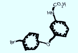 O=C(O)Nc1cccc(Oc2ccc(Br)cc2)c1